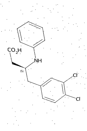 O=C(O)C[C@H](Cc1ccc(Cl)c(Cl)c1)Nc1ccccc1